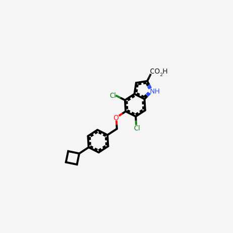 O=C(O)c1cc2c(Cl)c(OCc3ccc(C4CCC4)cc3)c(Cl)cc2[nH]1